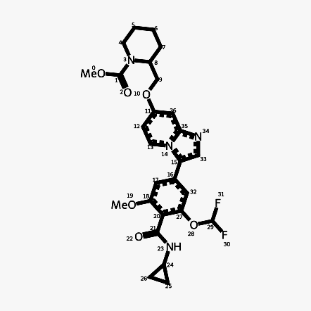 COC(=O)N1CCCCC1COc1ccn2c(-c3cc(OC)c(C(=O)NC4CC4)c(OC(F)F)c3)cnc2c1